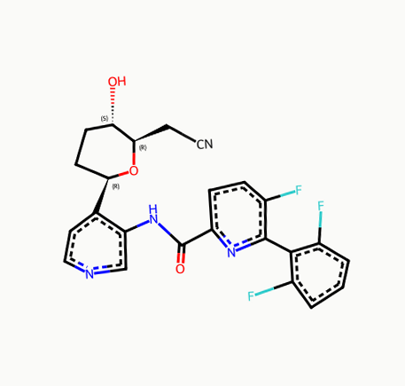 N#CC[C@H]1O[C@@H](c2ccncc2NC(=O)c2ccc(F)c(-c3c(F)cccc3F)n2)CC[C@@H]1O